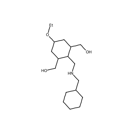 CCOC1CC(CO)C(CNCC2CCCCC2)C(CO)C1